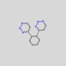 c1ccc(-c2ccnnn2)c(-c2ccnnn2)c1